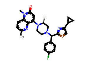 CC[C@H]1CN(C(c2ccc(F)cc2)c2nc(C3CC3)cs2)CCN1c1cc(=O)n(C)c2ccc(C#N)nc12